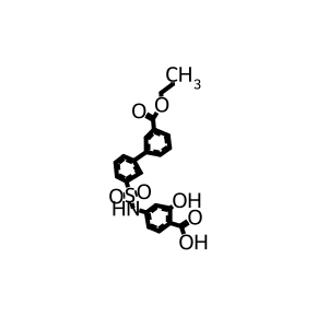 CCCOC(=O)c1cccc(-c2cccc(S(=O)(=O)Nc3ccc(C(=O)O)c(O)c3)c2)c1